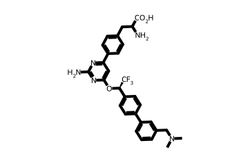 CN(C)Cc1cccc(-c2ccc([C@@H](Oc3cc(-c4ccc(CC(N)C(=O)O)cc4)nc(N)n3)C(F)(F)F)cc2)c1